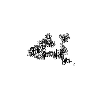 CC[C@H](C)[C@@H]([C@@H](CC(=O)N1CCC[C@H]1[C@H](OC)[C@@H](C)C(=O)N[C@@H](Cc1ccccc1)c1nccs1)OC)N(C)C(=O)[C@@H](NC(=O)[C@H](C(C)C)N(C)CCc1ccc(N(C)C(=O)OCc2ccc(NC(=O)[C@H](CCCNC(N)=O)NC(=O)[C@@H](NC(=O)CCCCCN3C(=O)CC(C(C)C)C3=O)C(C)C)cc2)cc1)C(C)C